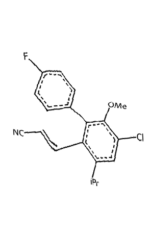 COc1c(Cl)cc(C(C)C)c(C=CC#N)c1-c1ccc(F)cc1